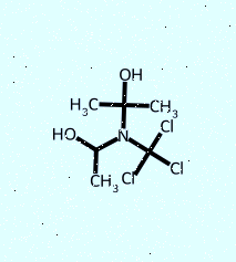 CC(O)N(C(C)(C)O)C(Cl)(Cl)Cl